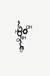 C=CCN1CC[C@@]2(c3cccc(O)c3)C[C@@H](NC(=O)/C=C/c3ccoc3)CC[C@@H]2C1